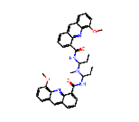 CCC(NC(=O)c1cccc2cc3cccc(OC)c3nc12)N(C)C(CC)NC(=O)c1cccc2cc3cccc(OC)c3nc12